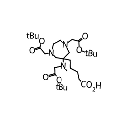 CN(CC(=O)OC(C)(C)C)C1(CCCCC(=O)O)CN(CC(=O)OC(C)(C)C)CCN(CC(=O)OC(C)(C)C)C1